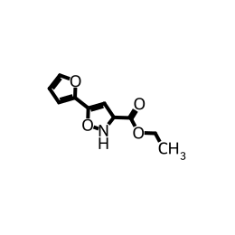 CCOC(=O)C1C=C(c2ccco2)ON1